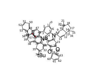 Cc1cc2c3c(c1)N(C1=CC4C(C=C1)C(C)(C)CCC4(C)C)c1cc4c(cc1B3N(c1ccc(C(C)(C)C)cc1-c1ccccc1)c1cc3c(cc1-2)-c1ccccc1C3(C)C)Oc1ccccc1O4